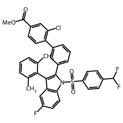 COC(=O)c1ccc(-c2cccc(-c3c(-c4c(C)cccc4C)c4cc(F)ccc4n3S(=O)(=O)c3ccc(C(F)F)cc3)c2)c(Cl)c1